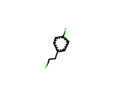 FCCc1ccc(F)cc1